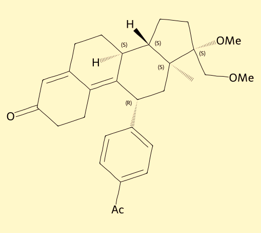 COC[C@]1(OC)CC[C@H]2[C@@H]3CCC4=CC(=O)CCC4=C3[C@@H](c3ccc(C(C)=O)cc3)C[C@@]21C